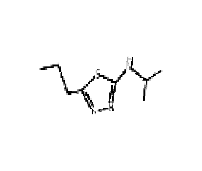 CCCc1nnc(NC(C)C)s1